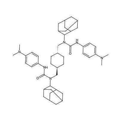 CN(C)c1ccc(NC(=O)N(C[C@H]2CC[C@H](CN(C(=O)Nc3ccc(N(C)C)cc3)C3C4CC5CC(C4)CC3C5)CC2)C2C3CC4CC(C3)CC2C4)cc1